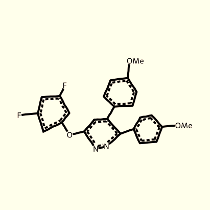 COc1ccc(-c2cc(Oc3cc(F)cc(F)c3)nnc2-c2ccc(OC)cc2)cc1